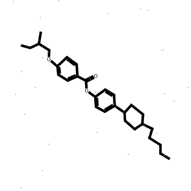 CCCCCC1CCC(c2ccc(OC(=O)c3ccc(OCC(C)CC)cc3)cc2)CC1